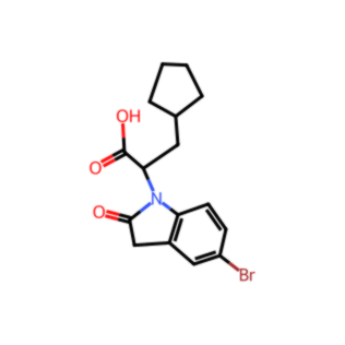 O=C(O)C(CC1CCCC1)N1C(=O)Cc2cc(Br)ccc21